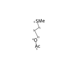 [CH2]SCCCOC(C)=O